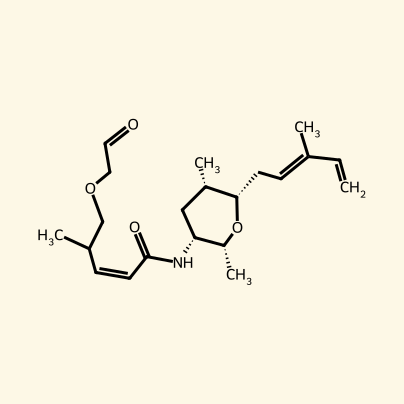 C=C/C(C)=C/C[C@@H]1O[C@H](C)[C@H](NC(=O)/C=C\C(C)COCC=O)C[C@@H]1C